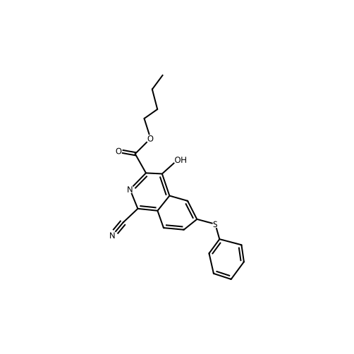 CCCCOC(=O)c1nc(C#N)c2ccc(Sc3ccccc3)cc2c1O